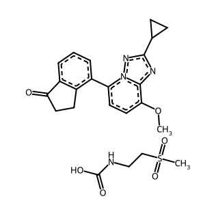 COc1ccc(-c2cccc3c2CCC3=O)n2nc(C3CC3)nc12.CS(=O)(=O)CCNC(=O)O